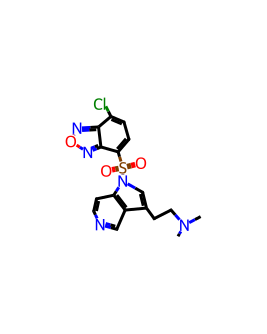 CN(C)CCc1cn(S(=O)(=O)c2ccc(Cl)c3nonc23)c2ccncc12